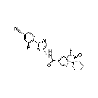 N#Cc1ccc(-c2ncc(CNC(=O)c3ccc4c(c3)NC(=O)C43CCCCC3)s2)c(F)c1